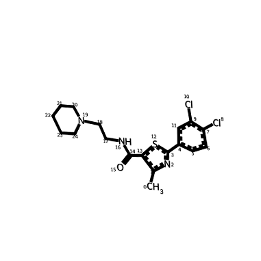 Cc1nc(-c2ccc(Cl)c(Cl)c2)sc1C(=O)NCCN1CCCCC1